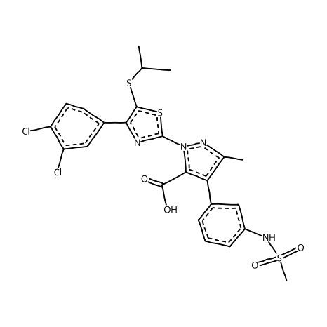 Cc1nn(-c2nc(-c3ccc(Cl)c(Cl)c3)c(SC(C)C)s2)c(C(=O)O)c1-c1cccc(NS(C)(=O)=O)c1